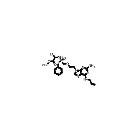 C=CCNc1nc(N)nc2c1ncn2CCOCP(=O)(NC(CC)C(=O)OCCCC)Oc1ccccc1